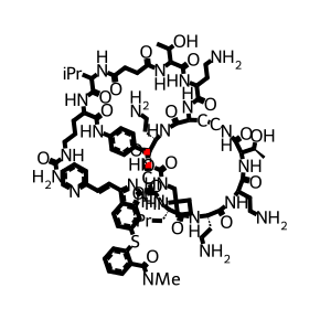 CNC(=O)c1ccccc1Sc1ccc2c(/C=C/c3ccccn3)nn(C(=O)NC3(CNC(=O)OCc4ccc(NC(=O)C(CCCNC(N)=O)NC(=O)C(NC(=O)CCC(=O)NC(C(=O)NC(CCN)C(=O)NC5CCNC(=O)C([C@H](C)O)NC(=O)C(CCN)NC(=O)[C@H](CCN)NC(=O)[C@H](CC(C)C)NC(=O)CNC(=O)[C@H](CCN)NC5=O)C(C)O)C(C)C)cc4)CCC3)c2c1